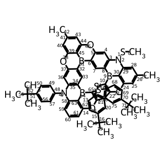 CSN1c2cc3c(cc2B2c4sc5ccc(C(C)(C)C)cc5c4Oc4cc(C)cc1c42)B1c2cc4c(cc2Oc2cc(C)cc(c21)O3)N(c1ccc(C(C)(C)C)cc1)c1cccc2c1B4c1sc3ccc(C(C)(C)C)cc3c1O2